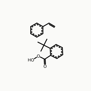 C=Cc1ccccc1.CC(C)(C)c1ccccc1C(=O)OO